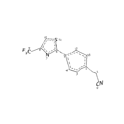 N#CCc1ccc(-c2nc(C(F)(F)F)cs2)cc1